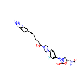 CC(=O)NC[C@H]1CN(c2ccc(N3CCN(C(=O)CCCC#Cc4ccc(CN)cc4)CC3)c(F)c2)C(=O)O1